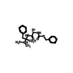 CC(C)[C@H](NC(=O)OCc1ccccc1)C(=O)NC(Cc1ccccc1)(C(=O)O)[SiH](C)C